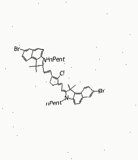 CCCCCN1/C(=C/C=C2\CCC(/C=C/C3=[N+](CCCCC)c4ccc5cc(Br)ccc5c4C3(C)C)=C2Cl)C(C)(C)c2c1ccc1cc(Br)ccc21